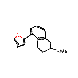 CNC1CCc2c(cccc2-c2ccco2)C1